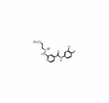 COCC[S+]([O-])Nc1cc(C(=O)Nc2ccc(F)c(Cl)c2)ccn1